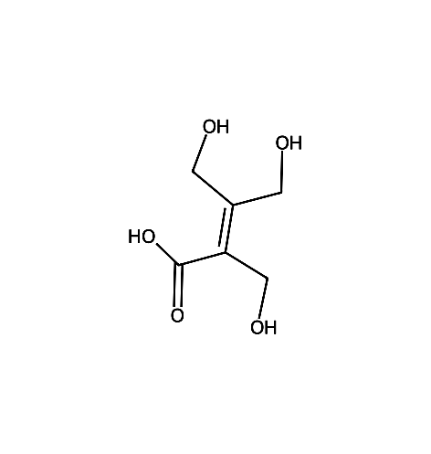 O=C(O)C(CO)=C(CO)CO